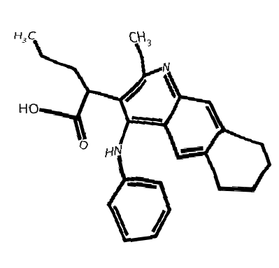 CCCC(C(=O)O)c1c(C)nc2cc3c(cc2c1Nc1ccccc1)CCCC3